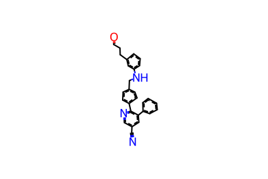 N#Cc1cnc(-c2ccc(CNc3cccc(CCC=O)c3)cc2)c(-c2ccccc2)c1